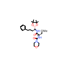 COC[C@@H](NC(=O)N1CCOCC1)C(=O)N[C@@H](CCCc1ccccc1)B1OC(C)(C)C(C)(C)O1